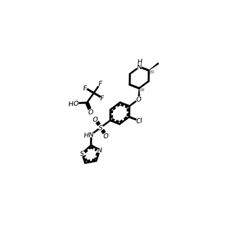 C[C@H]1C[C@@H](Oc2ccc(S(=O)(=O)Nc3nccs3)cc2Cl)CCN1.O=C(O)C(F)(F)F